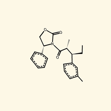 CC[C@@H](c1cccc(C)c1)[C@@H](C)C(=O)N1C(=O)OC[C@H]1c1ccccc1